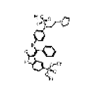 CCOP(=O)(OCC)c1ccc2c(c1)/C(=C(/Nc1ccc(N(CCN3CCCC3)S(C)(=O)=O)cc1)c1ccccc1)C(=O)N2